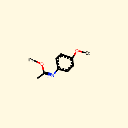 CCOc1ccc(/N=C(/C)OC(C)C)cc1